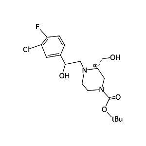 CC(C)(C)OC(=O)N1CCN(CC(O)c2ccc(F)c(Cl)c2)[C@H](CO)C1